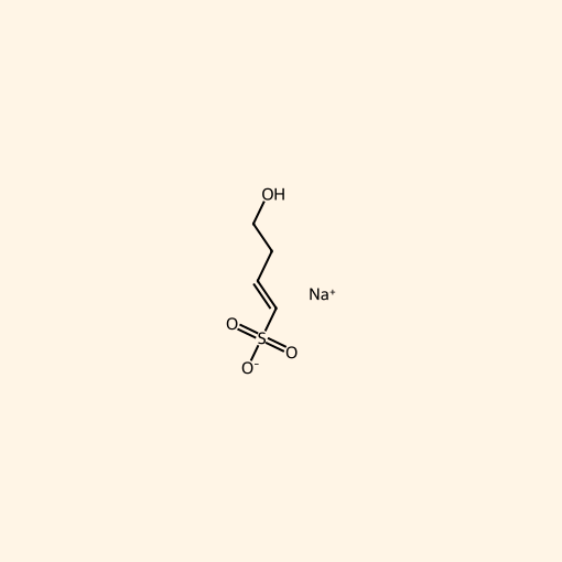 O=S(=O)([O-])C=CCCO.[Na+]